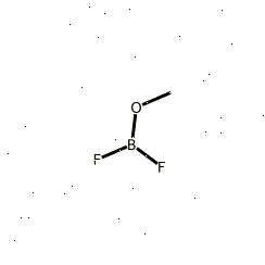 COB(F)F